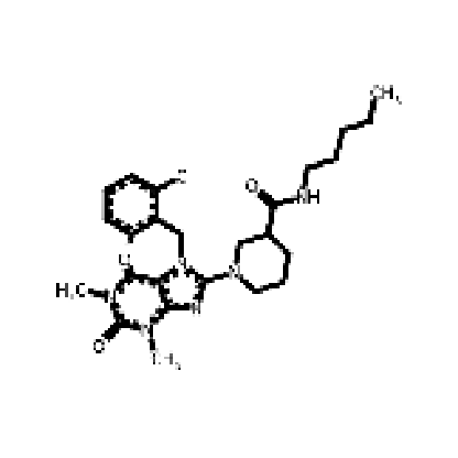 CCCCCNC(=O)C1CCCN(c2nc3c(c(=O)n(C)c(=O)n3C)n2Cc2c(F)cccc2Cl)C1